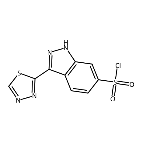 O=S(=O)(Cl)c1ccc2c(-c3nncs3)n[nH]c2c1